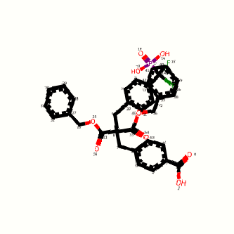 O=C(O)c1ccc(CC(Cc2ccc(C(F)(F)P(=O)(O)O)cc2)(C(=O)OCc2ccccc2)C(=O)OCc2ccccc2)cc1